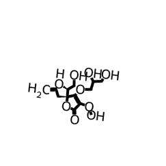 C=CC[C@]1([C@@H](O)CO)OC(=O)C(OO)=C1OCC(O)CO